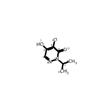 CC(C)n1ncc(O)c(Cl)c1=O